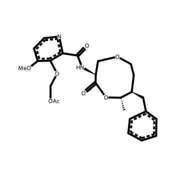 COc1ccnc(C(=O)N[C@H]2COCC[C@@H](Cc3ccccc3)[C@H](C)OC2=O)c1OCOC(C)=O